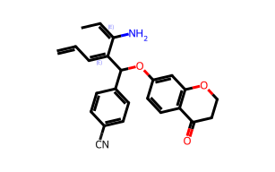 C=C/C=C(\C(N)=C/C)C(Oc1ccc2c(c1)OCCC2=O)c1ccc(C#N)cc1